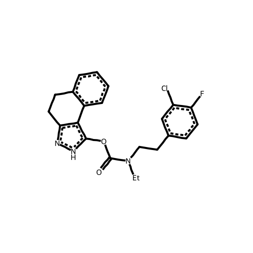 CCN(CCc1ccc(F)c(Cl)c1)C(=O)Oc1[nH]nc2c1-c1ccccc1CC2